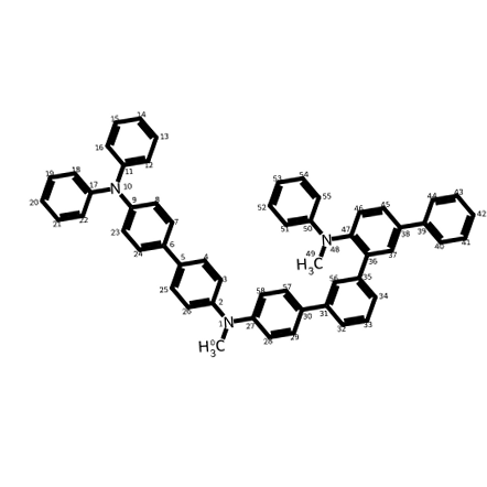 CN(c1ccc(-c2ccc(N(c3ccccc3)c3ccccc3)cc2)cc1)c1ccc(-c2cccc(-c3cc(-c4ccccc4)ccc3N(C)c3ccccc3)c2)cc1